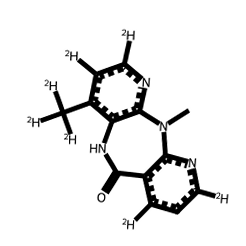 [2H]c1cc([2H])c2c(n1)N(C)c1nc([2H])c([2H])c(C([2H])([2H])[2H])c1NC2=O